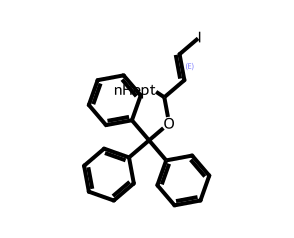 CCCCCCCC(/C=C/I)OC(c1ccccc1)(c1ccccc1)c1ccccc1